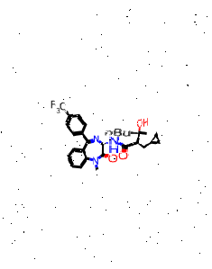 CCCC[C@](C)(O)[C@@H](CC1CC1)C(=O)N[C@H]1N=C(c2ccc(C(F)(F)F)cc2)c2ccccc2N(C)C1=O